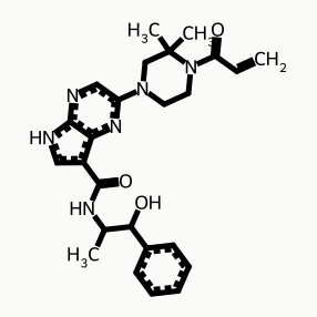 C=CC(=O)N1CCN(c2cnc3[nH]cc(C(=O)NC(C)C(O)c4ccccc4)c3n2)CC1(C)C